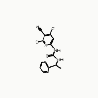 CC(NC(=O)Nc1cc(Cl)c(C#N)c(Cl)n1)c1ccccc1